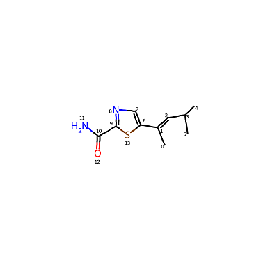 CC(=CC(C)C)c1cnc(C(N)=O)s1